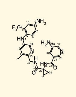 Cc1cc(Nc2ccc(N)cc2C(F)(F)F)cnc1CNC(=O)C1(NC(=O)c2cncc(N)c2)CC1